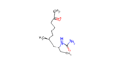 CCC(C[C@@H](C)CCCCC(C)=O)NC(N)=O